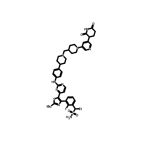 CCC(c1cccc(-c2nc(C(C)(C)C)sc2-c2ccnc(Nc3ccc(C4CCN(CC5CCN(c6cncc(C7CCC(=O)NC7=O)c6)CC5)CC4)cc3)n2)c1F)S(N)(=O)=O